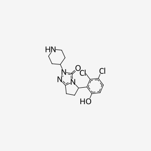 O=c1n(C2CCNCC2)nc2n1C(c1c(O)ccc(Cl)c1Cl)CC2